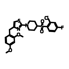 COc1ccc(Cc2csc(N3CCC(S(=O)(=O)c4ccc(F)cc4Cl)CC3)n2)c(OC)c1